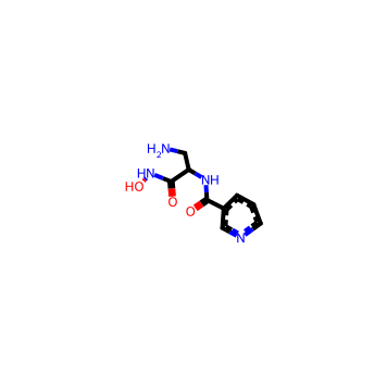 NCC(NC(=O)c1cccnc1)C(=O)NO